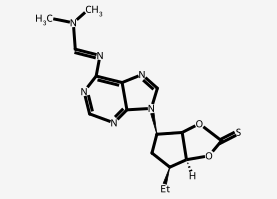 CC[C@H]1C[C@@H](n2cnc3c(/N=C/N(C)C)ncnc32)C2OC(=S)O[C@H]21